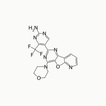 Nc1ncc(-c2nc(N3CCOCC3)c3oc4ncccc4c3n2)c(C(F)(F)F)n1